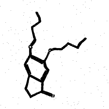 CCCCOc1cc2c(cc1OCCCC)C(=O)CC2